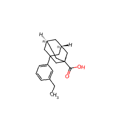 CCc1cccc(C23C[C@@H]4C[C@@H](CC(C(=O)O)(C4)C2)C3)c1